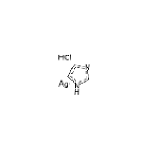 Cl.[Ag].c1c[nH]cn1